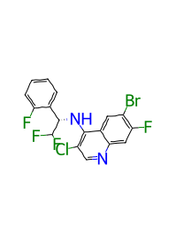 Fc1cc2ncc(Cl)c(N[C@@H](c3ccccc3F)C(F)F)c2cc1Br